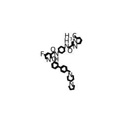 Cc1cccc2nc(C(=O)NC3CCC(NC(=O)c4cc(F)cnc4Oc4cccc(-c5ccc(CN6CCC(N7CCCC7)CC6)cc5)c4)CC3)cn12